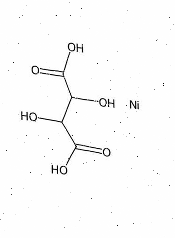 O=C(O)C(O)C(O)C(=O)O.[Ni]